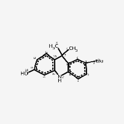 CC(C)(C)c1ccc2c(c1)C(C)(C)c1ccc(O)cc1N2